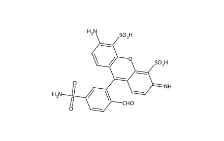 N=c1ccc2c(-c3cc(S(N)(=O)=O)ccc3C=O)c3ccc(N)c(S(=O)(=O)O)c3oc-2c1S(=O)(=O)O